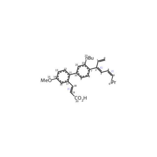 C=C/C(=C\C=C/C(C)C)c1ccc(-c2ccc(OC)cc2/C=C/C(=O)O)cc1CCCC